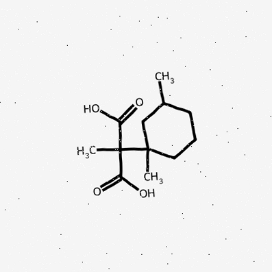 CC1CCCC(C)(C(C)(C(=O)O)C(=O)O)C1